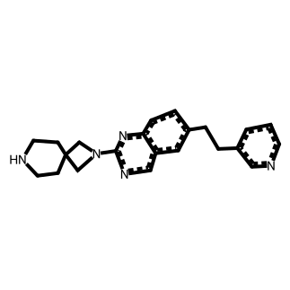 c1cncc(CCc2ccc3nc(N4CC5(CCNCC5)C4)ncc3c2)c1